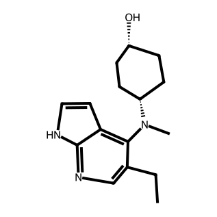 CCc1cnc2[nH]ccc2c1N(C)[C@H]1CC[C@@H](O)CC1